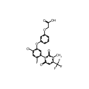 Cn1c(C(F)(F)F)cc(=O)n(-c2cc(Oc3cccc(OCC(=O)O)c3)c(Cl)cc2F)c1=O